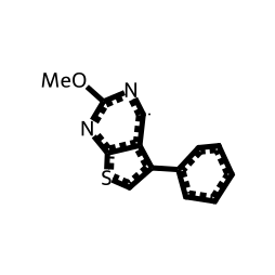 COc1n[c]c2c(-c3ccccc3)csc2n1